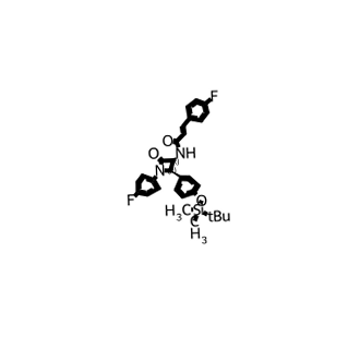 CC(C)(C)[Si](C)(C)Oc1ccc([C@@H]2[C@@H](NC(=O)C=Cc3ccc(F)cc3)C(=O)N2c2ccc(F)cc2)cc1